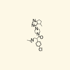 CC1CCc2ncnc(N3CCN(C(=O)C(CN4CC4C)c4ccc(Cl)cc4)CC3)c21